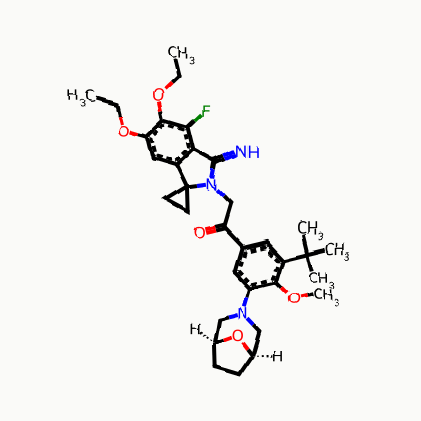 CCOc1cc2c(c(F)c1OCC)C(=N)N(CC(=O)c1cc(N3C[C@H]4CC[C@@H](C3)O4)c(OC)c(C(C)(C)C)c1)C21CC1